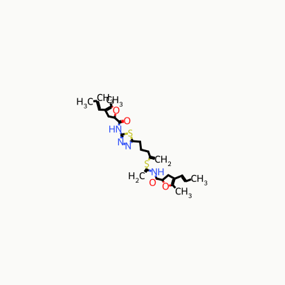 C=C(CCCc1nnc(NC(=O)C2CC(C=C(C)C)=C(C)O2)s1)SC(=C)NC(=O)C1CC(/C=C/C)=C(C)O1